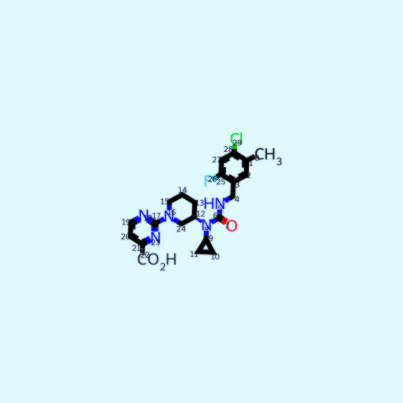 Cc1cc(CNC(=O)N(C2CC2)[C@@H]2CCCN(c3nccc(C(=O)O)n3)C2)c(F)cc1Cl